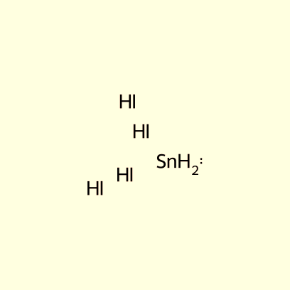 I.I.I.I.[SnH2]